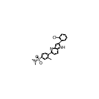 Cc1cc(S(=O)(=O)N(C)C)ccc1-c1ccc2[nH]c(-c3ccccc3Cl)cc2n1